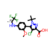 COc1cc(N[C@H](C)C(F)(F)F)ccc1-c1c(Cl)c(C(=O)O)nn1C(C)(C)C